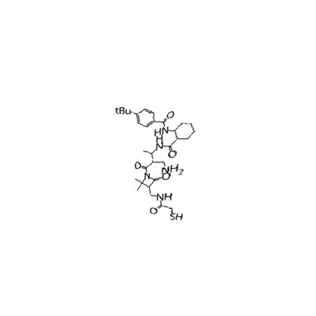 CC(NC(=O)C1CCCCC1NC(=O)c1ccc(C(C)(C)C)cc1)C(CN)C(=O)N1C(=O)C(CNC(=O)CS)C1(C)C